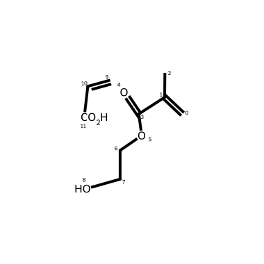 C=C(C)C(=O)OCCO.C=CC(=O)O